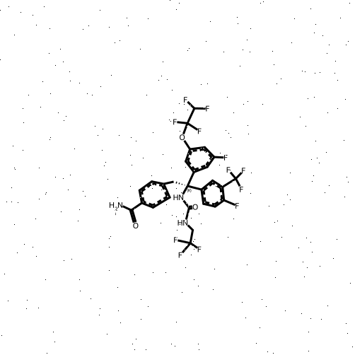 NC(=O)c1ccc(C[C@](NC(=O)NCC(F)(F)F)(c2cc(F)cc(OC(F)(F)C(F)F)c2)c2ccc(F)c(C(F)(F)F)c2)cc1